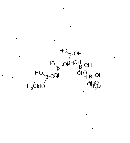 O.O.OB(O)O.OB(O)O.OB(O)O.OB(O)O.OB(O)O.[CaH2]